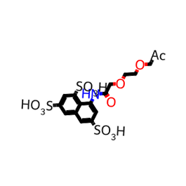 CC(=O)COCCOCC(=O)Nc1cc(S(=O)(=O)O)cc2cc(S(=O)(=O)O)cc(S(=O)(=O)O)c12